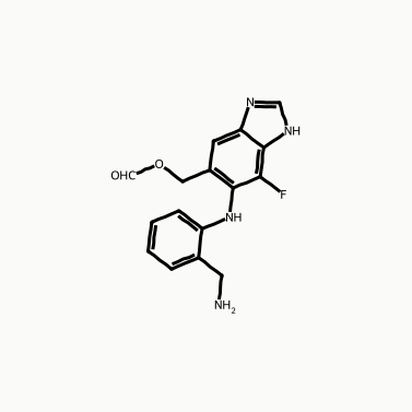 NCc1ccccc1Nc1c(COC=O)cc2nc[nH]c2c1F